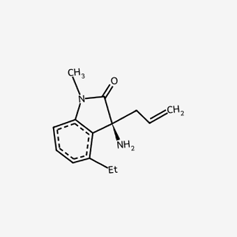 C=CC[C@@]1(N)C(=O)N(C)c2cccc(CC)c21